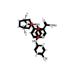 COC(=O)c1cnc(Nc2cnc(C#N)cn2)cc1N[C@H]1C[C@H]2CC[C@@H](C1)N2Cc1ccccc1